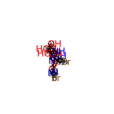 O=S(=O)(Nc1ncnc(OCCOc2ncc(Br)cn2)c1-c1ccc(Br)cc1)NC1OC(CO)C(O)C(O)C1O